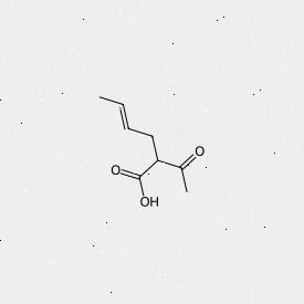 C/C=C/CC(C(C)=O)C(=O)O